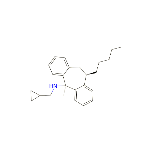 CCCCC[C@@H]1Cc2ccccc2[C@](C)(NCC2CC2)c2ccccc21